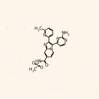 Cc1cccc(-c2nc3cc(C(=O)NS(C)(=O)=O)ccn3c2-c2ccnc(N)n2)n1